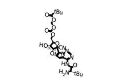 CC(C)(C)C(=O)OCOC(=O)OC[C@H]1O[C@@](C#N)(c2ccc3c(NC(=O)[C@@H](N)C(C)(C)C)ncnn23)[C@H](O)[C@@H]1O